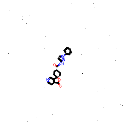 O=C1O[C@]2(CC[C@@H](C(=O)Nc3ccn(-c4ccccc4)n3)CC2)c2cnccc21